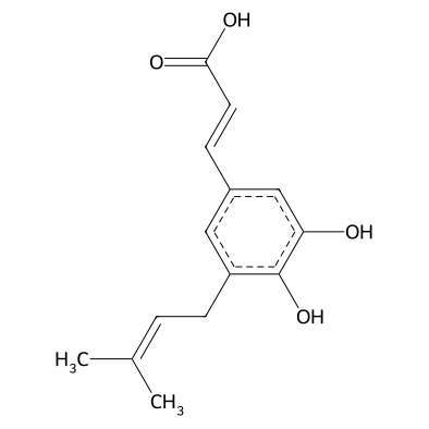 CC(C)=CCc1cc(/C=C/C(=O)O)cc(O)c1O